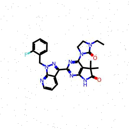 CCN1CCN(c2nc(-c3nn(Cc4ccccc4F)c4ncccc34)nc3c2C(C)(C)C(=O)N3)C1=O